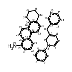 C1=CN(c2ccccc2)CC(Cc2cccnc2)=C1.Nc1cccc2c1ccc1c3c(ccc12)CCCC3